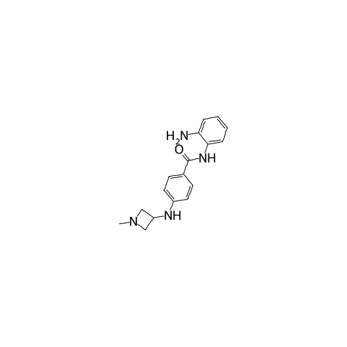 CN1CC(Nc2ccc(C(=O)Nc3ccccc3N)cc2)C1